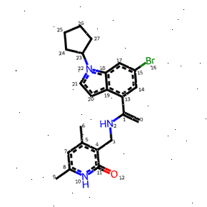 C=C(NCc1c(C)cc(C)[nH]c1=O)c1cc(Br)cc2c1ccn2C1CCCC1